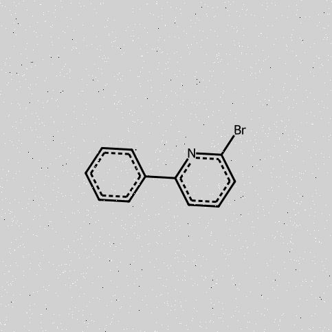 Brc1cccc(-c2[c]cccc2)n1